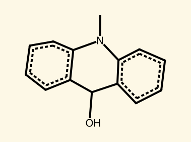 CN1c2ccccc2C(O)c2ccccc21